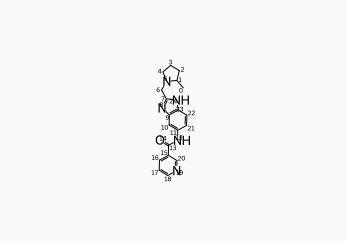 CC1CCCN1Cc1nc2cc(NC(=O)c3cccnc3)ccc2[nH]1